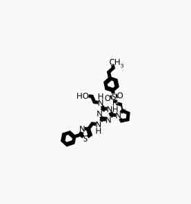 CCCc1ccc(S(=O)(=O)NC[C@H]2CCCN2c2nc(NCCO)nc(NCc3csc(-c4ccccc4)n3)n2)cc1